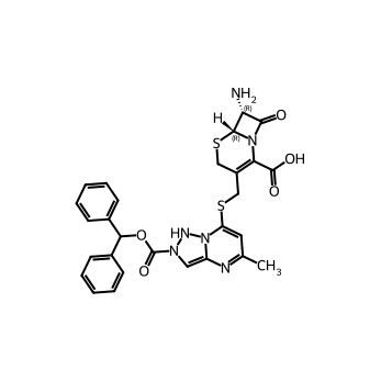 CC1=NC2=CN(C(=O)OC(c3ccccc3)c3ccccc3)NN2C(SCC2=C(C(=O)O)N3C(=O)[C@@H](N)[C@H]3SC2)=C1